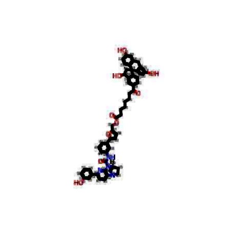 O=C(CCCCCCC(=O)c1ccc2c(c1)C(O)CC21c2ccc(O)cc2Cc2cc(O)ccc21)OCc1ccc(-c2cccc(NC(=O)N3c4nc(-c5cccc(O)c5)ccc4N4CC[C@H]3C4)c2)o1